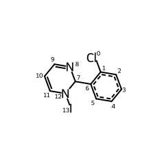 Clc1ccccc1C1N=CC=CN1I